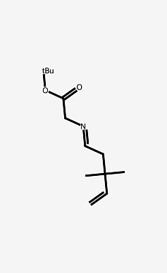 C=CC(C)(C)C/C=N/CC(=O)OC(C)(C)C